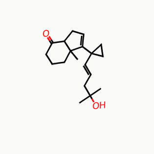 CC(C)(O)CC=CC1(C2=CCC3C(=O)CCCC23C)CC1